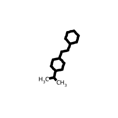 CC(C)C1CCC(CCC2CCCCC2)CC1